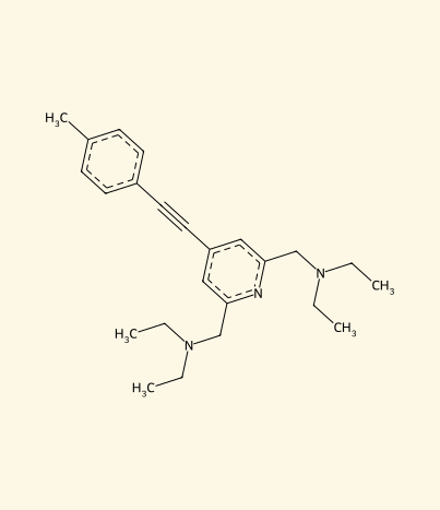 CCN(CC)Cc1cc(C#Cc2ccc(C)cc2)cc(CN(CC)CC)n1